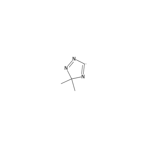 CC1(C)N=[C]N=N1